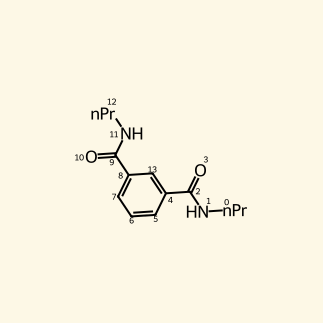 CCCNC(=O)c1cccc(C(=O)NCCC)c1